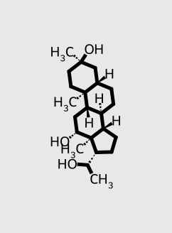 CC(O)[C@H]1CC[C@H]2[C@@H]3CC[C@H]4C[C@](C)(O)CC[C@]4(C)[C@H]3C[C@@H](O)[C@]12C